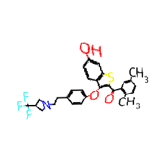 Cc1ccc(C)c(C(=O)c2sc3cc(O)ccc3c2Oc2ccc(CCN3CC(C(F)(F)F)C3)cc2)c1